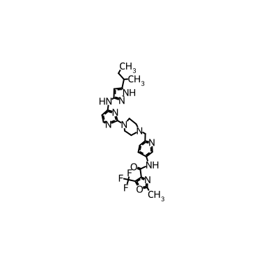 CCC(C)c1cc(Nc2ccnc(N3CCN(Cc4ccc(NC(=O)c5nc(C)oc5C(F)(F)F)cn4)CC3)n2)n[nH]1